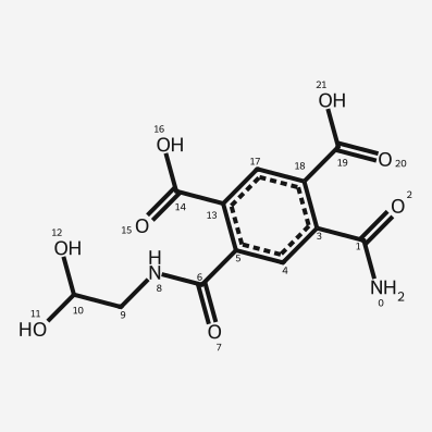 NC(=O)c1cc(C(=O)NCC(O)O)c(C(=O)O)cc1C(=O)O